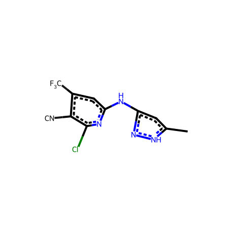 [C-]#[N+]c1c(C(F)(F)F)cc(Nc2cc(C)[nH]n2)nc1Cl